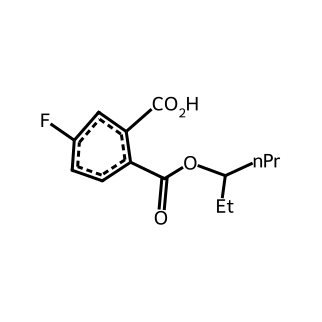 CCCC(CC)OC(=O)c1ccc(F)cc1C(=O)O